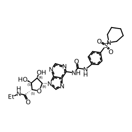 CCNC(=O)[C@H]1O[C@@H](n2cnc3c(NC(=O)Nc4ccc(S(=O)(=O)N5CCCCC5)cc4)ncnc32)[C@H](O)[C@@H]1O